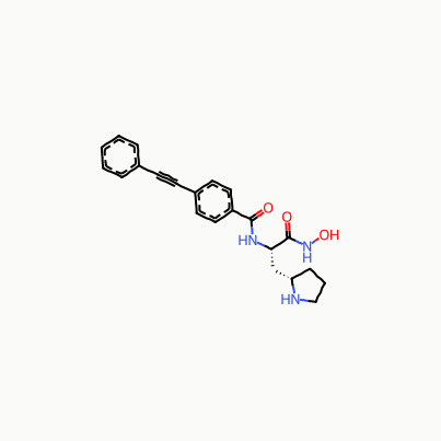 O=C(N[C@@H](C[C@@H]1CCCN1)C(=O)NO)c1ccc(C#Cc2ccccc2)cc1